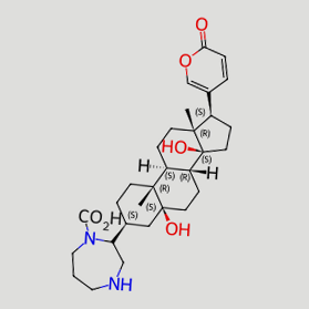 C[C@]12CC[C@H](C3CNCCCN3C(=O)O)C[C@@]1(O)CC[C@@H]1[C@@H]2CC[C@]2(C)[C@@H](c3ccc(=O)oc3)CC[C@]12O